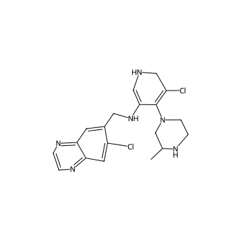 CC1CN(C2=C(Cl)CNC=C2NCc2cc3nccnc3cc2Cl)CCN1